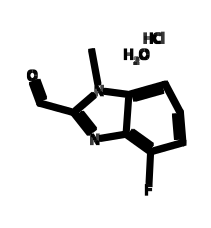 Cl.Cn1c(C=O)nc2c(F)cccc21.O